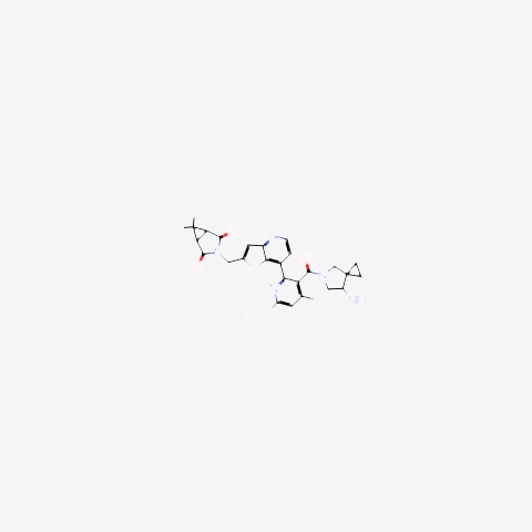 Cc1cc(C(F)(F)F)nc(-c2ccnc3cc(CN4C(=O)C5C(C4=O)C5(C)C)sc23)c1C(=O)N1CC(N)C2(CC2)C1.Cl